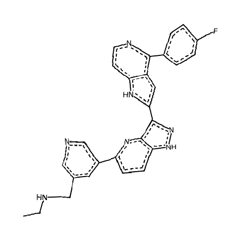 CCNCc1cncc(-c2ccc3[nH]nc(-c4cc5c(-c6ccc(F)cc6)nccc5[nH]4)c3n2)c1